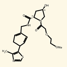 COCCOCC(=O)N1C[C@H](O)C[C@H]1C(=O)NCC1=CCC(c2scnc2C)C=C1